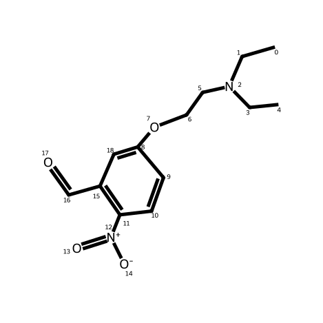 CCN(CC)CCOc1ccc([N+](=O)[O-])c(C=O)c1